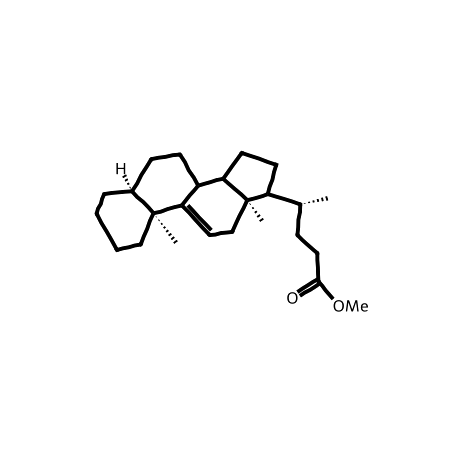 COC(=O)CC[C@@H](C)C1CCC2C3CC[C@@H]4CCCC[C@]4(C)C3=CC[C@@]21C